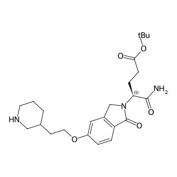 CC(C)(C)OC(=O)CC[C@@H](C(N)=O)N1Cc2cc(OCCC3CCCNC3)ccc2C1=O